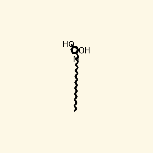 CCCCCCCCCCCCCCCCCCN=Cc1ccc(O)cc1O